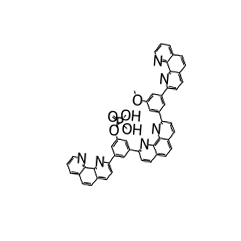 COc1cc(-c2ccc3ccc4cccnc4c3n2)cc(-c2ccc3ccc4ccc(-c5cc(OP(=O)(O)O)cc(-c6ccc7ccc8cccnc8c7n6)c5)nc4c3n2)c1